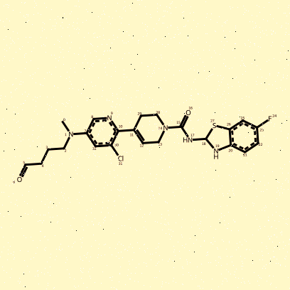 CN(CCCC=O)c1cnc(C2=CCN(C(=O)NC3Nc4ccc(F)cc4S3)CC2)c(Cl)c1